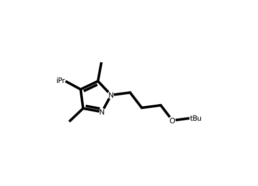 Cc1nn(CCCOC(C)(C)C)c(C)c1C(C)C